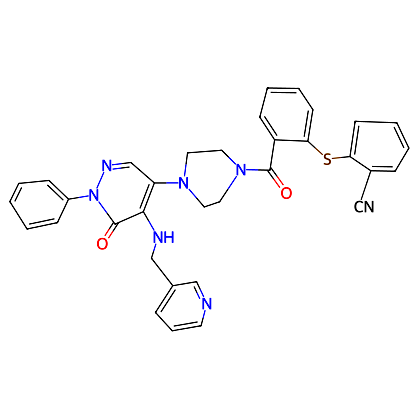 N#Cc1ccccc1Sc1ccccc1C(=O)N1CCN(c2cnn(-c3ccccc3)c(=O)c2NCc2cccnc2)CC1